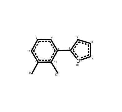 Cc1cccc(-c2ccco2)c1C